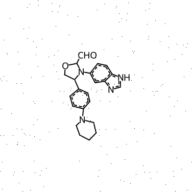 O=CC1OCC(c2ccc(N3CCCCC3)cc2)N1c1ccc2[nH]cnc2c1